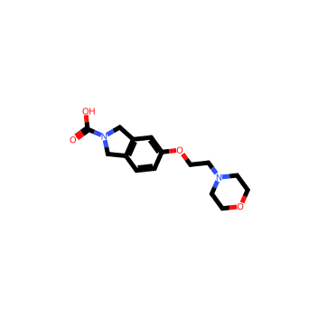 O=C(O)N1Cc2ccc(OCCN3CCOCC3)cc2C1